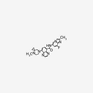 Cc1cn2cc(NC(=O)c3ccc(N4CCN(C)C5(CC5)C4)c4nccnc34)cc(F)c2n1